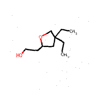 CCC1(CC)COC(CCO)C1